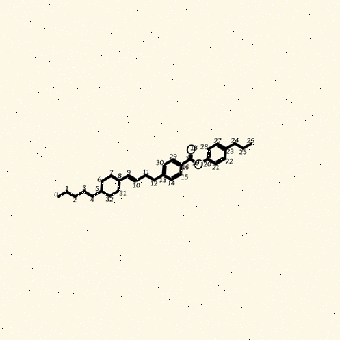 CCCCCC1CCC(C=CCCc2ccc(C(=O)Oc3ccc(CCC)cc3)cc2)CC1